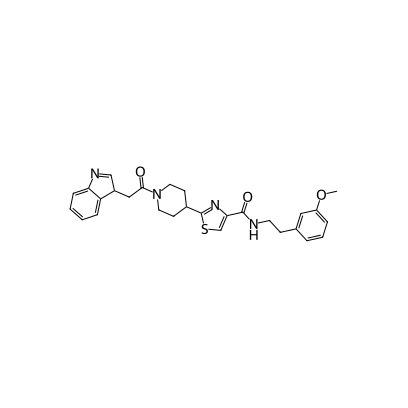 COc1cccc(CCNC(=O)c2csc(C3CCN(C(=O)CC4C=Nc5ccccc54)CC3)n2)c1